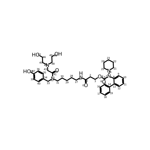 O=C(CCOC(=O)N(c1ccccc1-c1ccccc1)N1CC[CH]CC1)NCCCCCN(Cc1ccc(O)cc1)C(=O)CN(CCO)CCO